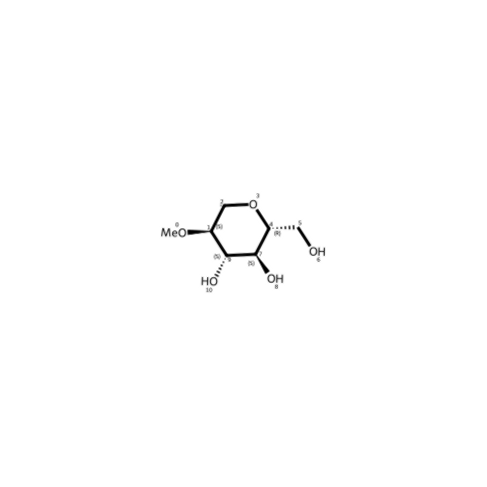 CO[C@H]1[CH]O[C@H](CO)[C@@H](O)[C@@H]1O